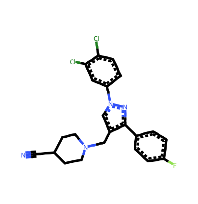 N#CC1CCN(Cc2cn(-c3ccc(Cl)c(Cl)c3)nc2-c2ccc(F)cc2)CC1